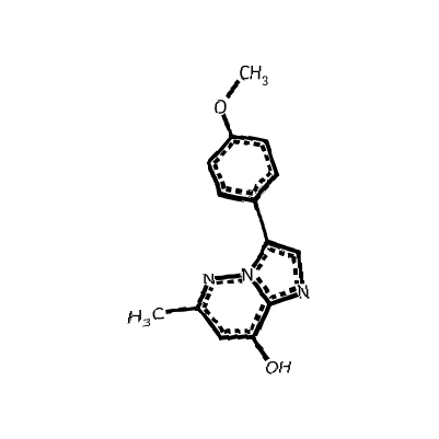 COc1ccc(-c2cnc3c(O)cc(C)nn23)cc1